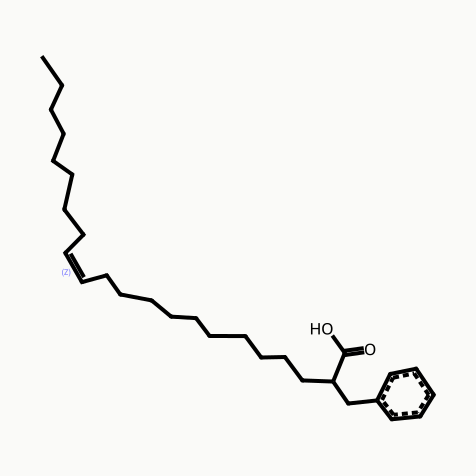 CCCCCCCC/C=C\CCCCCCCCCCC(Cc1ccccc1)C(=O)O